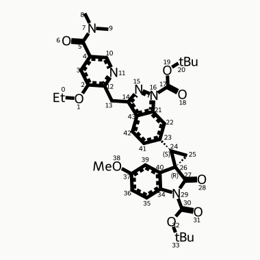 CCOc1cc(C(=O)N(C)C)cnc1Cc1nn(C(=O)OC(C)(C)C)c2cc([C@@H]3C[C@@]34C(=O)N(C(=O)OC(C)(C)C)c3ccc(OC)cc34)ccc12